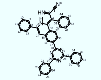 N#CC(=N)/C(=C1\NC(c2ccccc2)=Cc2cc(-c3nc(-c4ccccc4)nc(-c4ccccc4)n3)ccc21)c1ccccc1